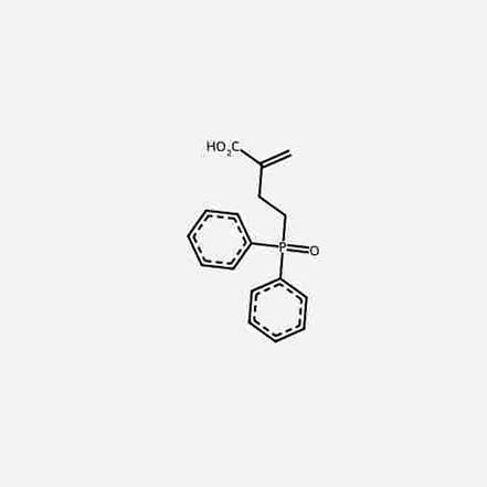 C=C(CCP(=O)(c1ccccc1)c1ccccc1)C(=O)O